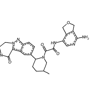 CC1CCC(c2ccc3nn4c(c3c2)C(=O)NCC4)N(C(=O)C(=O)Nc2cnc(N)c3c2COC3)C1